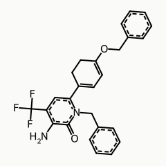 Nc1c(C(F)(F)F)cc(C2=CC=C(OCc3ccccc3)CC2)n(Cc2ccccc2)c1=O